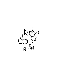 Cn1ncc(-c2ccc3c(=O)[nH]nc(CN)c3c2)c1-c1ccc2c(Cl)cccc2c1C#N